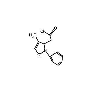 CC1=CON(c2ccccc2)C1CC(=O)Cl